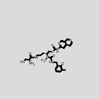 CN(C(=O)NCc1cccc(F)c1Cl)[C@@H](CCCNC(=O)[C@@H](N)CO)COC(=O)Nc1cc2ccncc2cn1